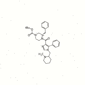 CN1CCCCC1Cn1cnc(C(=O)N2CCN(C(=O)OC(C)(C)C)C[C@H]2Cc2ccccc2)c1-c1ccccc1